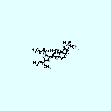 C=C(/C=c1/ccc2sc(N(C)C)cc2c1=C)c1cc(N(C)C)sc1/C=C\CC